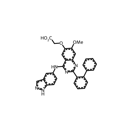 COc1cc2nc(-c3ccccc3-c3ccccc3)nc(Nc3ccc4[nH]ncc4c3)c2cc1OCC(=O)O